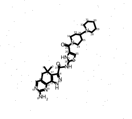 CC1(C)Cc2cnc(N)nc2-c2[nH]nc(C(=O)NC3NC(C(=O)N4CCC(N5CCCCC5)CC4)=CS3)c21